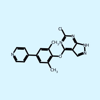 Cc1cc(-c2ccncc2)cc(C)c1Oc1nc(Cl)nc2[nH]ncc12